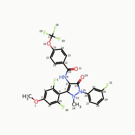 COc1cc(F)c(-c2c(NC(=O)c3ccc(OC(F)(F)F)cc3)c(=O)n(-c3cccc(F)c3)n2C)c(F)c1